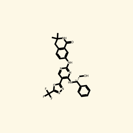 CC1(C)Cc2ccc(Nc3ncc(-c4nnc(C(F)(F)F)o4)c(N[C@H](CO)c4ccccc4)n3)cc2C(=O)N1